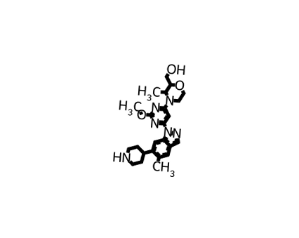 COc1nc(N2CCOC(CO)C2C)cc(-n2ncc3cc(C)c(C4CCNCC4)cc32)n1